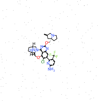 C=C1CN2CCC[C@@]2(COc2nc3c4c(c(Cl)c(-c5nc(N)ccc5C(F)(F)F)cc4n2)OC[C@@H]2[C@@H]4CC[C@H](CN32)N4)C1